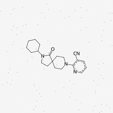 N#Cc1cccnc1N1CCC2(CC1)CCN(C1CCCCC1)C2=O